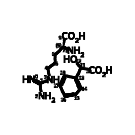 N=C(N)NCCC[C@H](N)C(=O)O.O=C(O)C(O)c1ccccc1